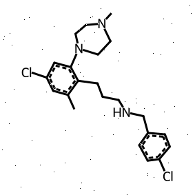 Cc1cc(Cl)cc(N2CCN(C)CC2)c1CCCNCc1ccc(Cl)cc1